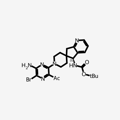 CC(=O)c1nc(Br)c(N)nc1N1CCC2(CC1)Cc1ncccc1[C@H]2NC(=O)OC(C)(C)C